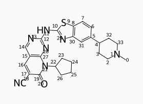 CN1CCC(c2ccc3sc(Nc4ncc5cc(C#N)c(=O)n(C6CCCC6)c5n4)nc3c2)CC1